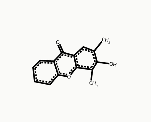 Cc1cc2c(=O)c3ccccc3oc2c(C)c1O